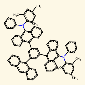 Cc1cc(C)c(N(c2ccccc2)c2c3ccccc3c(-c3cc(-c4c5ccccc5cc5ccccc45)cc(-c4c5ccccc5c(N(c5ccccc5)c5c(C)cc(C)cc5C)c5ccccc45)c3)c3ccccc23)c(C)c1